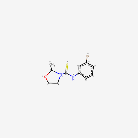 CC1OCCN1C(=S)Nc1cccc(Br)c1